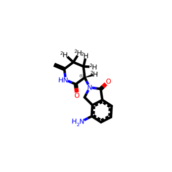 [2H]C1([2H])C(=C)NC(=O)[C@@]([2H])(N2Cc3c(N)cccc3C2=O)C1([2H])[2H]